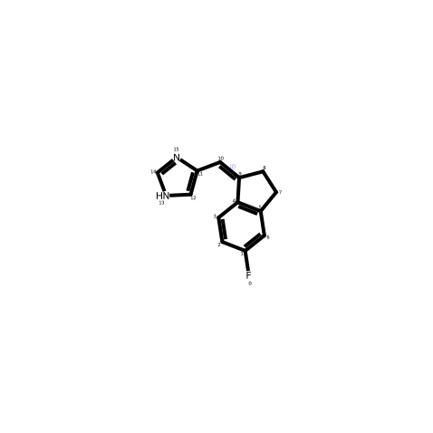 Fc1ccc2c(c1)CC/C2=C/c1c[nH]cn1